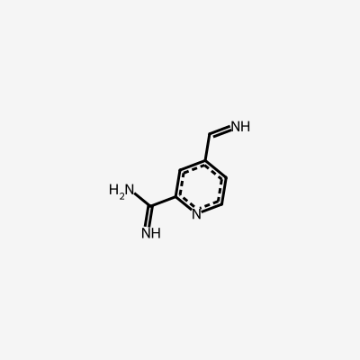 N=Cc1ccnc(C(=N)N)c1